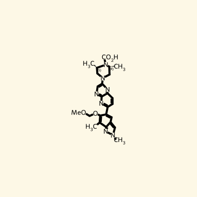 COCOc1c(-c2ccc3nc(N4C[C@@H](C)N(C(=O)O)[C@@H](C)C4)cnc3n2)cc2cn(C)nc2c1C